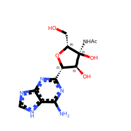 CC(=O)N[C@@]1(O)[C@@H](CO)O[C@@H](c2nc(N)c3[nH]cnc3n2)[C@@H]1O